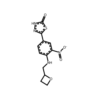 O=c1[nH]nc(-c2ccc(NCC3CCO3)c([N+](=O)[O-])c2)s1